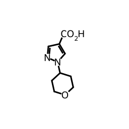 O=C(O)c1cnn(C2CCOCC2)c1